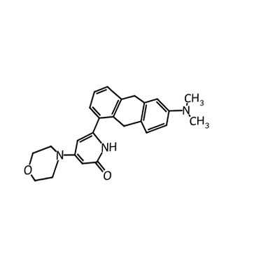 CN(C)c1ccc2c(c1)Cc1cccc(-c3cc(N4CCOCC4)cc(=O)[nH]3)c1C2